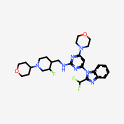 FC(F)c1nc2ccccc2n1-c1cc(N2CCOCC2)nc(NCC2CCN(C3CCOCC3)CC2F)n1